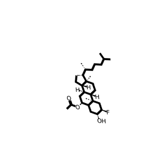 CC(=O)O[C@@H]1C[C@H]2[C@@H]3CC[C@H]([C@H](C)CCCC(C)C)[C@@]3(C)CC[C@@H]2[C@@]2(C)C[C@@H](F)[C@H](O)CC12